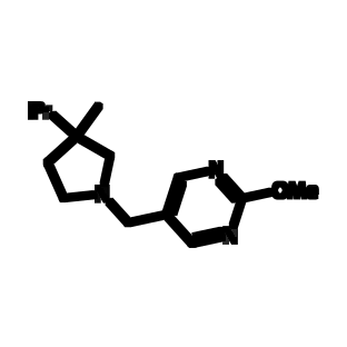 COc1ncc(CN2CCC(C)(C(C)C)C2)cn1